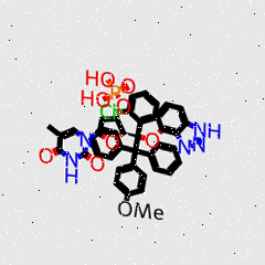 COc1ccc(C(c2ccccc2)(c2ccccc2)C(Oc2cccc3[nH]nnc23)(c2ccccc2Cl)[C@H]2O[C@@H](n3cc(C)c(=O)[nH]c3=O)C[C@@H]2OP(=O)(O)O)cc1